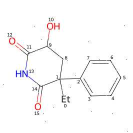 CCC1(c2ccccc2)CC(O)C(=O)NC1=O